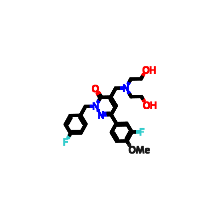 COc1ccc(-c2cc(CN(CCO)CCO)c(=O)n(Cc3ccc(F)cc3)n2)cc1F